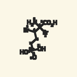 NC(Br)(C(=O)O)C(Br)CCP(=O)(O)O